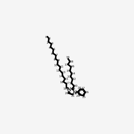 CCCCCCCCCCCCCCCCCCC[n+]1ccn(-c2ccccc2)c1CCCCCCCCCC